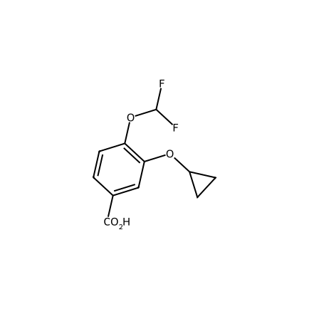 O=C(O)c1ccc(OC(F)F)c(OC2CC2)c1